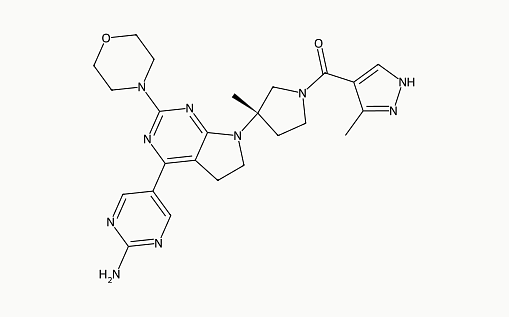 Cc1n[nH]cc1C(=O)N1CC[C@](C)(N2CCc3c(-c4cnc(N)nc4)nc(N4CCOCC4)nc32)C1